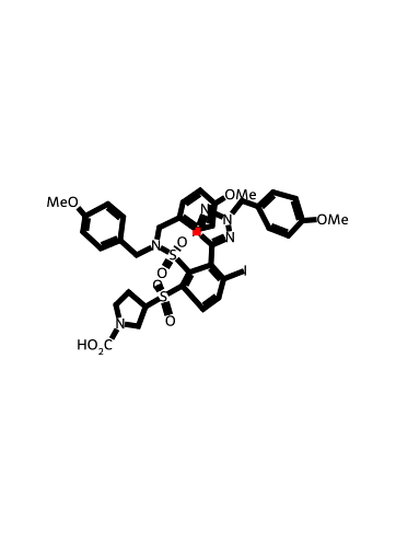 COc1ccc(CN(Cc2ccc(OC)cc2)S(=O)(=O)c2c(S(=O)(=O)C3CCN(C(=O)O)C3)ccc(I)c2-c2nnn(Cc3ccc(OC)cc3)n2)cc1